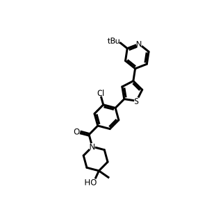 CC1(O)CCN(C(=O)c2ccc(-c3cc(-c4ccnc(C(C)(C)C)c4)cs3)c(Cl)c2)CC1